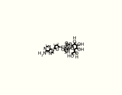 Nc1ncnc2c1ncn2[C@H]1CC[C@@H](COP(=O)(S)OP(=O)(O)OC2OC([C@@H](O)CO)C(O)C(O)C2O)O1